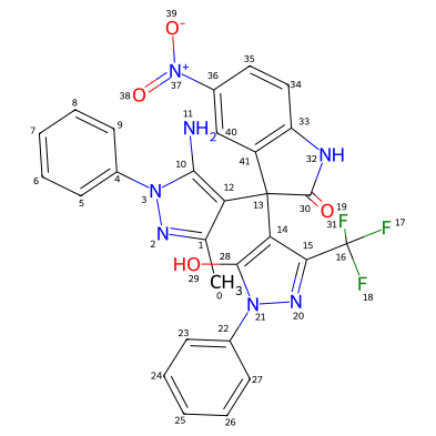 Cc1nn(-c2ccccc2)c(N)c1C1(c2c(C(F)(F)F)nn(-c3ccccc3)c2O)C(=O)Nc2ccc([N+](=O)[O-])cc21